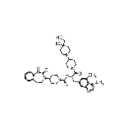 Cc1cc(C[C@@H](OC(=O)N2CCC(N3CCc4ccccc4NC3=O)CC2)C(=O)N2CCC(N3CCC(O)(CO)CC3)CC2)cc2ncn(C)c12